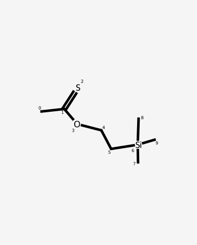 CC(=S)OCC[Si](C)(C)C